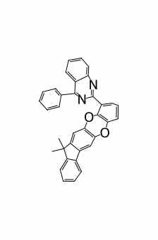 CC1(C)c2ccccc2-c2cc3c(cc21)Oc1c(cccc1-c1nc(-c2ccccc2)c2ccccc2n1)O3